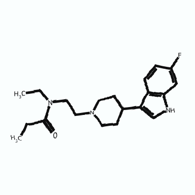 CCC(=O)N(CC)CCN1CCC(c2c[nH]c3cc(F)ccc23)CC1